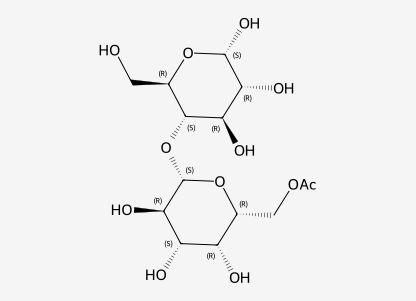 CC(=O)OC[C@H]1O[C@@H](O[C@H]2[C@H](O)[C@@H](O)[C@@H](O)O[C@@H]2CO)[C@H](O)[C@@H](O)[C@H]1O